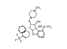 COc1cncc2c1[C@]1(O)[C@H](O)[C@H](CN3CCN(C)CC3)[C@@H](c3ccccc3)[C@]1(C1C=CC(C(F)(F)F)=CC1)O2